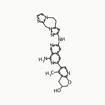 Cc1c(-c2cc3cc(Nc4cc5n(n4)Cc4nccn4CC5)ncc3c(N)n2)cnc2c1C[C@H](O)CO2